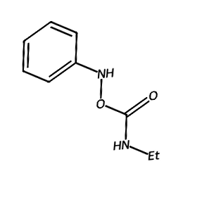 CCNC(=O)ONc1ccccc1